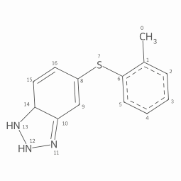 Cc1ccccc1SC1=CC2=NNNC2C=C1